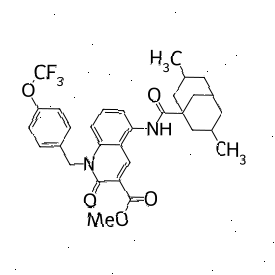 COC(=O)c1cc2c(NC(=O)C34CC(C)CC(CC(C)C3)C4)cccc2n(Cc2ccc(OC(F)(F)F)cc2)c1=O